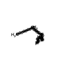 COCCOCCOCCOCCOCCOCCOCCN(C)C(=O)CCOCCOCCOCCOCCCc1cccc(C(=O)Nc2ccc(N3CCCCC3)cc2-c2cc(C(=O)NCc3cccc(C(F)(F)F)c3)ccn2)c1